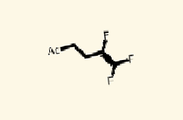 CC(=O)CCC(F)=C(F)F